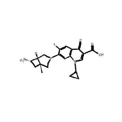 C[C@@]12C[C@H](N)[C@@H]1CN(c1cc3c(cc1F)c(=O)c(C(=O)O)cn3C1CC1)C2